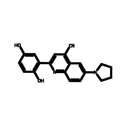 N#Cc1cc(-c2cc(O)ccc2O)nc2ccc(N3CCCC3)cc12